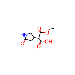 CCOC(=O)C(C(=O)O)C1CNC(=O)C1